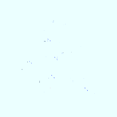 CS(=O)(=O)Nc1cccnc1CN(CCCCN)C1CCCc2cccnc21